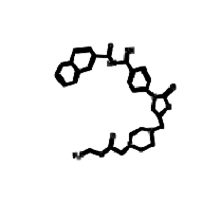 CCOC(=O)CN1CCN(CC2CN(c3ccc(C(=N)NC(=O)c4ccc5ccccc5c4)cc3)C(=O)O2)CC1